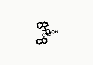 CC(CC(=O)O)(C(=O)Oc1cccc2ccccc12)c1cccc2ccccc12